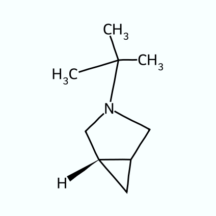 CC(C)(C)N1CC2C[C@@H]2C1